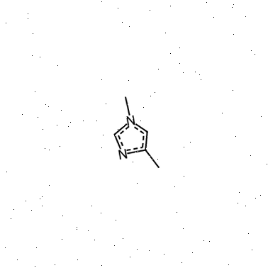 Cc1cn(C)cn1